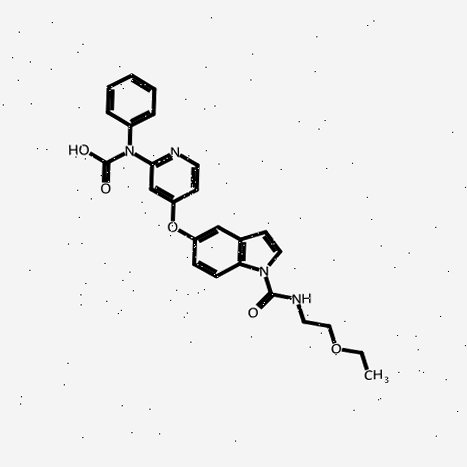 CCOCCNC(=O)n1ccc2cc(Oc3ccnc(N(C(=O)O)c4ccccc4)c3)ccc21